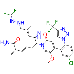 COc1cn(C(C/C=C/[C@@H](C)C(N)=O)C(=N)/C=C(\C)CNNC(F)F)c(=O)cc1-c1cc(Cl)ccc1-n1cc(C(F)(F)F)nn1